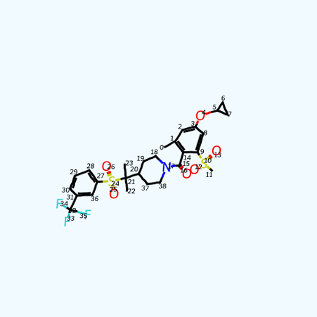 Cc1cc(OC2CC2)cc(S(C)(=O)=O)c1C(=O)N1CCC(C(C)(C)S(=O)(=O)c2cccc(C(F)(F)F)c2)CC1